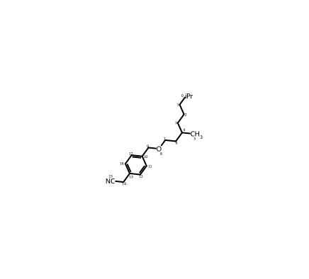 CC(C)CCCC(C)CCOCc1ccc(CC#N)cc1